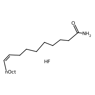 CCCCCCCC/C=C\CCCCCCCC(N)=O.F